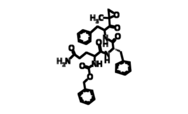 CC1(C(=O)C(Cc2ccccc2)NC(=O)[C@H](Cc2ccccc2)NC(=O)C(CCC(N)=O)NC(=O)OCc2ccccc2)CO1